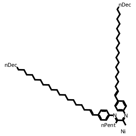 CCCCCCCCCCCCCCCCCCCCCCCCCCCC=Cc1ccc(N=C(C)C(CCCCC)=Nc2ccc(C=CCCCCCCCCCCCCCCCCCCCCCCCCCCC)cc2)cc1.[Ni]